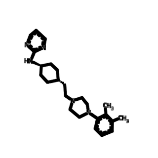 Cc1cccc(N2CCN(CC[C@H]3CC[C@H](Nc4ncccn4)CC3)CC2)c1C